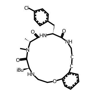 CCC(C)[C@@H]1NCCOc2ccccc2CCCNC(=O)[C@@H](Cc2ccc(Cl)cc2)NC(=O)[C@@H](C)N(C)C1=O